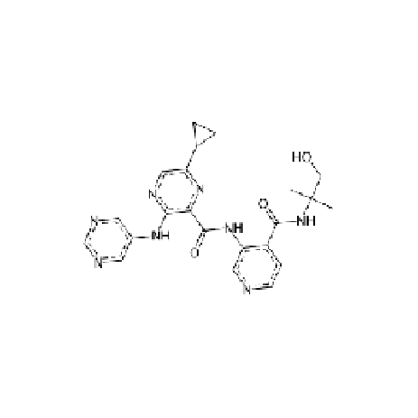 CC(C)(CO)NC(=O)c1ccncc1NC(=O)c1nc(C2CC2)cnc1Nc1cncnc1